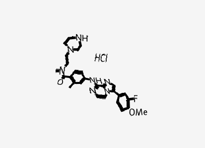 COc1ccc(-c2cnc3c(Nc4ccc(C(=O)N(C)CCN5CCNCC5)c(C)c4)nccn23)cc1F.Cl